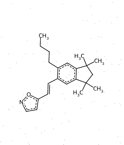 CCCCc1cc2c(cc1C=Cc1ccno1)C(C)(C)CC2(C)C